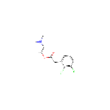 C[C@H](CN(C)C)OC(=O)Cc1cccc(Cl)c1Cl